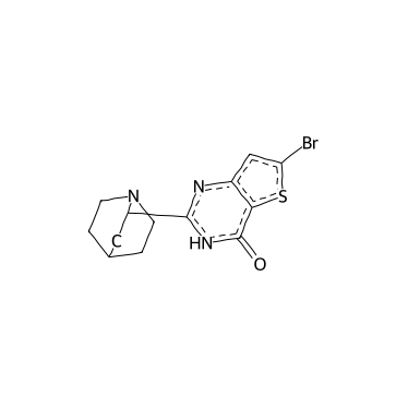 O=c1[nH]c(C2CC3CCN2CC3)nc2cc(Br)sc12